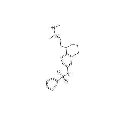 C/C(=N\CC1CCCc2cc(NS(=O)(=O)c3ccccc3)ccc21)N(C)C